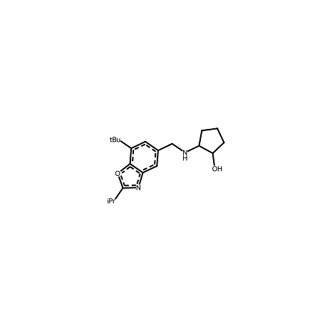 CC(C)c1nc2cc(CNC3CCCC3O)cc(C(C)(C)C)c2o1